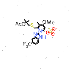 COc1cc[n+](-c2nc3cc(C(F)(F)F)ccc3[nH]2)c(CSCC(C)(C)OC(C)=O)c1C.CS(=O)(=O)[O-]